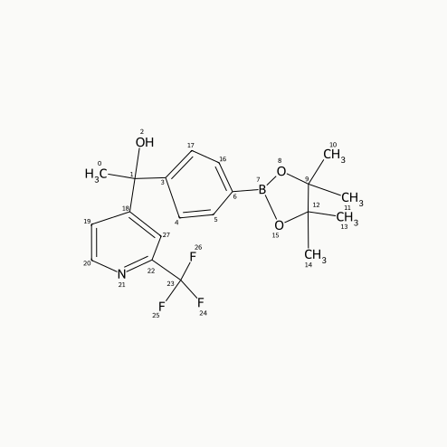 CC(O)(c1ccc(B2OC(C)(C)C(C)(C)O2)cc1)c1ccnc(C(F)(F)F)c1